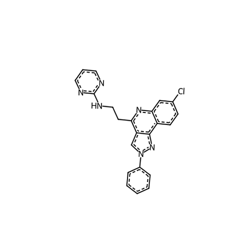 Clc1ccc2c(c1)nc(CCNc1ncccn1)c1cn(-c3ccccc3)nc12